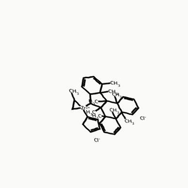 CC1=CC=CC2[CH]([Zr+2]3([C]4=CC=CC4)[CH2][CH]3C)C3(C)C4(C)C=CC=CC4(C)C4(C)C=CC=CC4(C)C3(C)C12C.[Cl-].[Cl-]